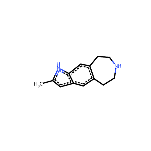 Cc1cc2cc3c(cc2[nH]1)CCNCC3